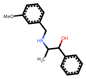 COc1cccc(CNC(C)C(O)c2ccccc2)c1